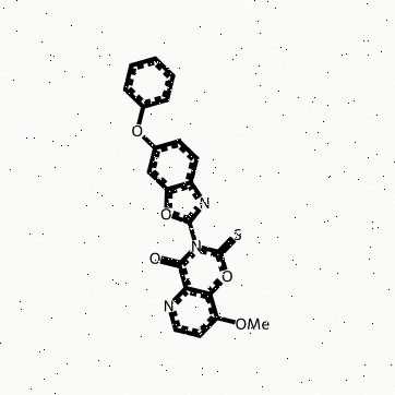 COc1ccnc2c(=O)n(-c3nc4ccc(Oc5ccccc5)cc4o3)c(=S)oc12